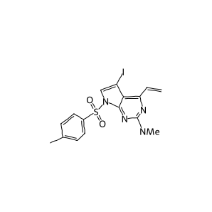 C=Cc1nc(NC)nc2c1c(I)cn2S(=O)(=O)c1ccc(C)cc1